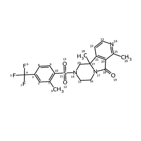 Cc1cc(C(F)(F)F)ccc1S(=O)(=O)N1CCN2C(=O)c3c(ccnc3C)C2(C)C1